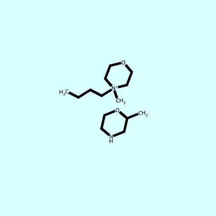 CC1CNCCO1.CCCC[N+]1(C)CCOCC1